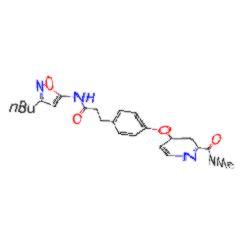 CCCCc1cc(NC(=O)CCc2ccc(Oc3ccnc(C(=O)NC)c3)cc2)on1